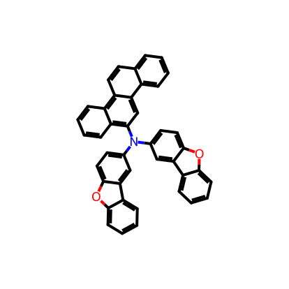 c1ccc2c(c1)ccc1c3ccccc3c(N(c3ccc4oc5ccccc5c4c3)c3ccc4oc5ccccc5c4c3)cc21